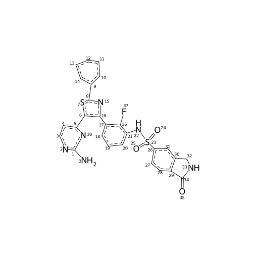 Nc1nccc(-c2sc(-c3ccccc3)nc2-c2cccc(NS(=O)(=O)c3ccc4c(c3)CNC4=O)c2F)n1